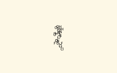 O=C(O)c1cc2c(nc(CN3CC=C(c4ccc(F)c(OCc5ccc(Cl)cc5F)n4)CC3)n2C[C@@H]2CCO2)[nH]1